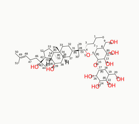 CCCC[C@H](O[C@@H]1CC(CO)[C@@H](O)C(O)C1O[C@@H]1CC(CO)[C@@H](O)C(O)C1O)C(C)(C)[C@@H]1CC[C@]2(C)[C@@H](C1)C[C@@H](O)[C@@H]1[C@@H](C(C)(O)CCC=C(C)C)CC[C@]12C